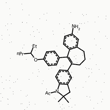 CCCC(CC)Oc1ccc(C2=C(c3ccc4c(c3)CC(C)(C)N4C(C)=O)CCCc3cc(N)ccc32)cc1